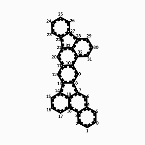 c1ccc2c(c1)cc1c3cc4c(cc3c3cccc2c31)cc1c2ccccc2c2cccc4c21